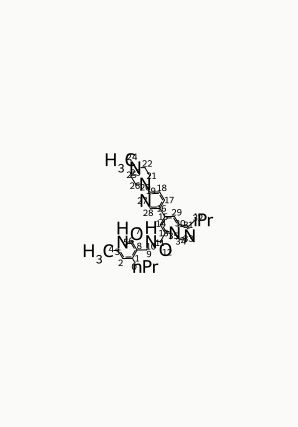 CCCc1cc(C)[nH]c(=O)c1CNC(=O)c1cc(-c2ccc(N3CCN(C)CC3)nc2)cc2c(C(C)C)ncn12